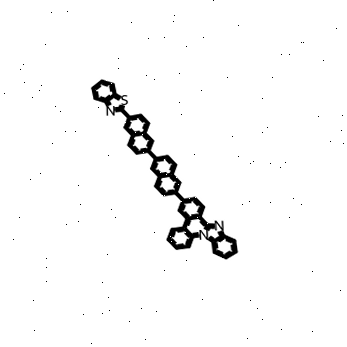 c1ccc2sc(-c3ccc4cc(-c5ccc6cc(-c7ccc8c(c7)c7ccccc7n7c9ccccc9nc87)ccc6c5)ccc4c3)nc2c1